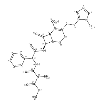 Cn1nnnc1SCC1=C(C(=O)O)N2C(=O)[C@H](NC(=O)C(NC(=O)N(N)C(=O)OC(C)(C)C)c3ccccc3)C2SC1